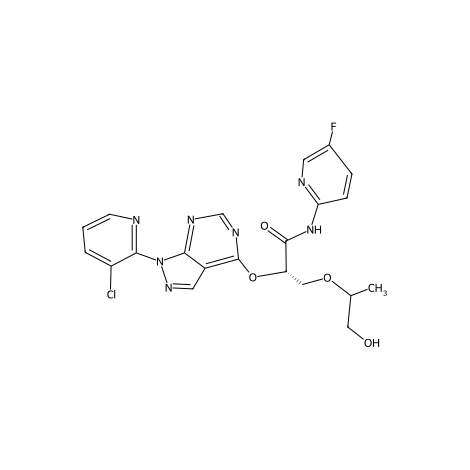 CC(CO)OC[C@H](Oc1ncnc2c1cnn2-c1ncccc1Cl)C(=O)Nc1ccc(F)cn1